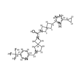 O=C(N1CC2(CC(c3nnc(C4CC4)[nH]3)C2)C1)N1CC2(CCN(Cc3ccc(C(F)(F)F)cn3)C2)C1